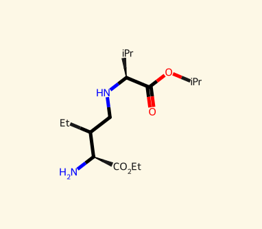 CCOC(=O)[C@@H](N)C(CC)CN[C@H](C(=O)OC(C)C)C(C)C